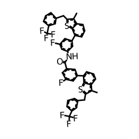 Cc1c(Cc2cccc(C(F)(F)F)c2)sc2c(-c3cc(F)cc(NC(=O)c4cc(F)cc(-c5cccc6c(C)c(Cc7cccc(C(F)(F)F)c7)sc56)c4)c3)cccc12